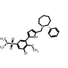 COc1c(Cl)cc(S(=O)(=O)N(C)C)cc1-c1ccc(CN2CCCCC[C@@H]2c2ccccc2)[nH]1